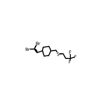 FC(F)(F)CCSCC1CCC(C=C(Br)Br)CC1